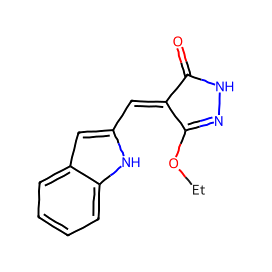 CCOC1=NNC(=O)C1=Cc1cc2ccccc2[nH]1